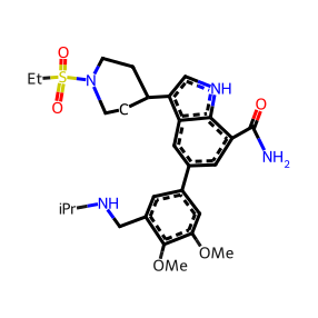 CCS(=O)(=O)N1CCC(c2c[nH]c3c(C(N)=O)cc(-c4cc(CNC(C)C)c(OC)c(OC)c4)cc23)CC1